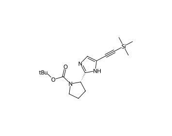 CC(C)(C)OC(=O)N1CCC[C@H]1c1ncc(C#C[Si](C)(C)C)[nH]1